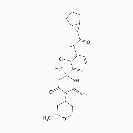 C[C@@H]1C[C@H](N2C(=N)N[C@](C)(c3cccc(NC(=O)C4C5CCCC54)c3Cl)CC2=O)CCO1